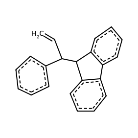 C=CC(c1ccccc1)C1c2ccccc2-c2ccccc21